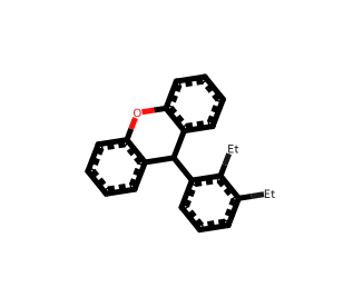 CCc1cccc(C2c3ccccc3Oc3ccccc32)c1CC